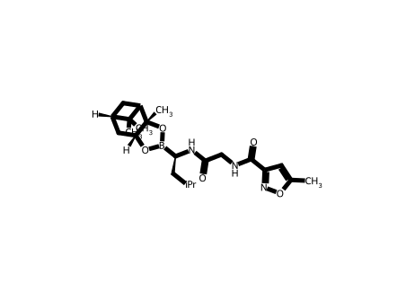 Cc1cc(C(=O)NCC(=O)N[C@@H](CC(C)C)B2O[C@@H]3C[C@@H]4CC(C4(C)C)[C@]3(C)O2)no1